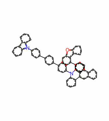 c1ccc(N(c2ccc(-c3ccc(-c4ccc(-n5c6ccccc6c6ccccc65)cc4)cc3)cc2)c2ccccc2-c2cccc3oc4ccccc4c23)c(-c2cc3ccccc3c3ccccc23)c1